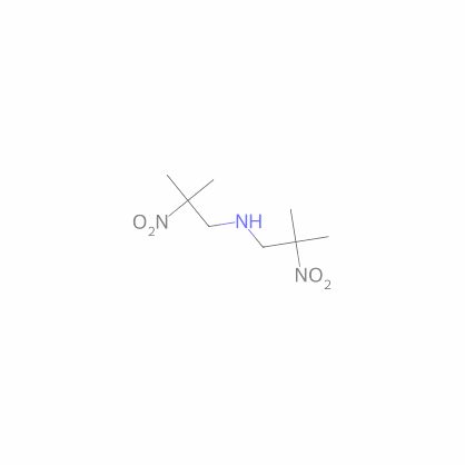 CC(C)(CNCC(C)(C)[N+](=O)[O-])[N+](=O)[O-]